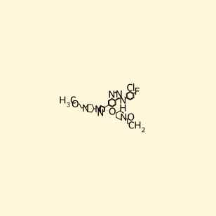 C=CC(=O)N1CCC(Oc2cc3c(Nc4ccc(F)c(Cl)c4)ncnc3cc2-c2cnn(C3CCN(CCOC)CC3)c2)CC1